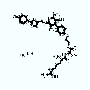 CC(C)[C@H](NC(=O)[C@@H](N)CCCNC(=N)N)C(=O)OCCOc1ccc(-c2c(C#N)c(N)nc(SCc3csc(-c4ccc(Cl)cc4)n3)c2C#N)cc1.Cl.Cl